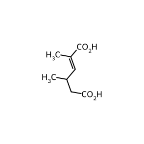 CC(=CC(C)CC(=O)O)C(=O)O